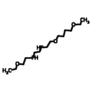 CCOCCCCOCCPCCPCCOCC